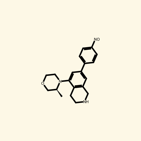 C[C@H]1COCCN1c1cc(-c2ccc(N=O)cc2)cc2c1CCNC2